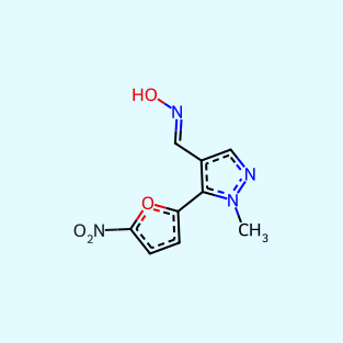 Cn1ncc(C=NO)c1-c1ccc([N+](=O)[O-])o1